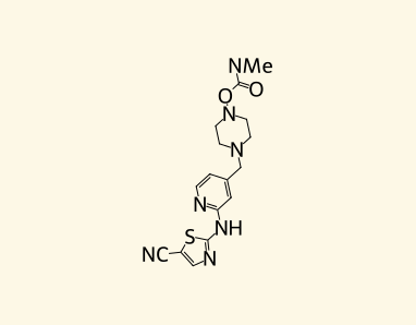 CNC(=O)ON1CCN(Cc2ccnc(Nc3ncc(C#N)s3)c2)CC1